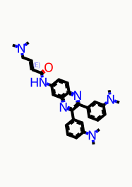 CN(C)C/C=C/C(=O)Nc1ccc2nc(-c3cccc(N(C)C)c3)c(-c3cccc(N(C)C)c3)nc2c1